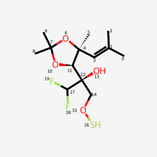 CC(C)=C[C@]1(C)OC(C)(C)O[C@@H]1[C@](O)(COS)C(F)F